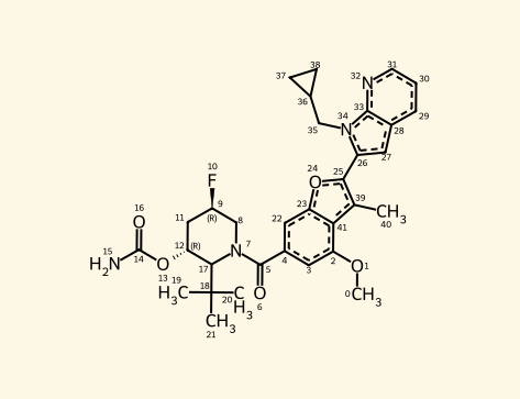 COc1cc(C(=O)N2C[C@H](F)C[C@@H](OC(N)=O)C2C(C)(C)C)cc2oc(-c3cc4cccnc4n3CC3CC3)c(C)c12